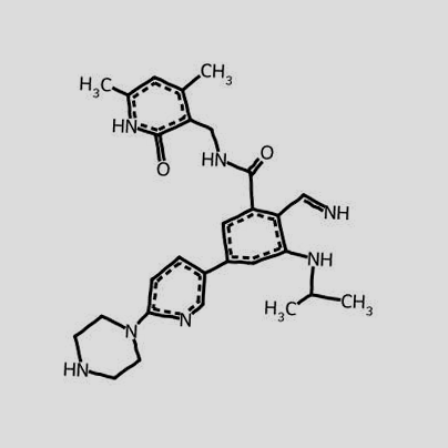 Cc1cc(C)c(CNC(=O)c2cc(-c3ccc(N4CCNCC4)nc3)cc(NC(C)C)c2C=N)c(=O)[nH]1